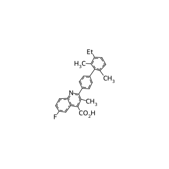 CCc1ccc(C)c(-c2ccc(-c3nc4ccc(F)cc4c(C(=O)O)c3C)cc2)c1C